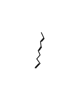 [CH]=CCC/C=C/C=C/C